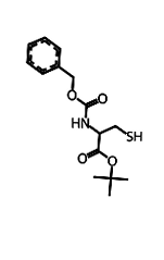 CC(C)(C)OC(=O)C(CS)NC(=O)OCc1ccccc1